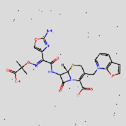 CC(C)(ON=C(C(=O)NC1C(=O)N2C(C(=O)[O-])=C(C[n+]3cccc4ccoc43)CS[C@@H]12)c1coc(N)n1)C(=O)O